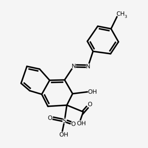 Cc1ccc(N=NC2=c3ccccc3=CC(C(=O)O)(S(=O)(=O)O)C2O)cc1